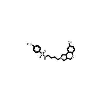 N#Cc1ccc2c(c1)C1CN(CCCCNS(=O)(=O)c3ccc([N+](=O)[O-])cc3)CC1CO2